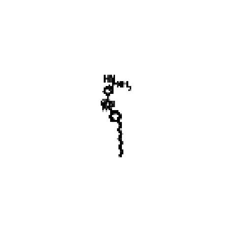 CCCCCCCCc1ccc(-c2noc(C3CCN(C(=N)N)C3)n2)cc1